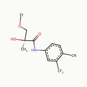 CCOC[C@](C)(O)C(=O)Nc1ccc(C#N)c(C(F)(F)F)c1